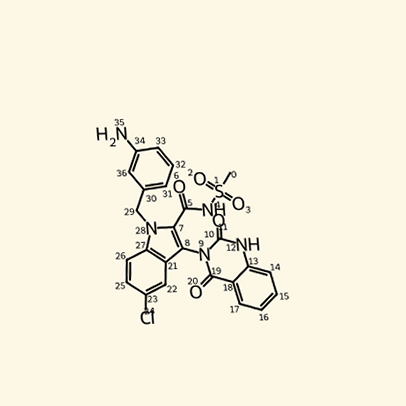 CS(=O)(=O)NC(=O)c1c(-n2c(=O)[nH]c3ccccc3c2=O)c2cc(Cl)ccc2n1Cc1cccc(N)c1